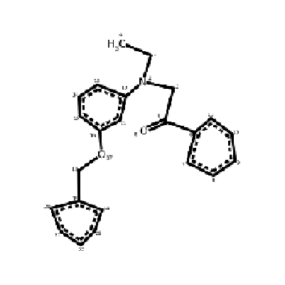 CCN(CC(=O)c1ccccc1)c1cccc(OCc2ccccc2)c1